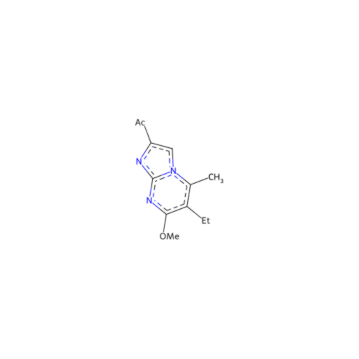 CCc1c(OC)nc2nc(C(C)=O)cn2c1C